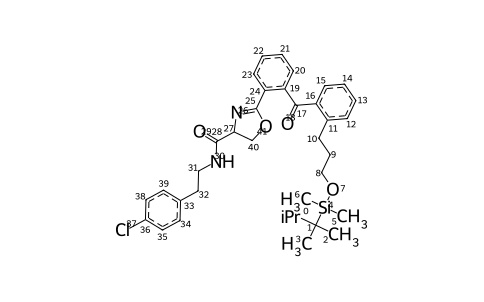 CC(C)C(C)(C)[Si](C)(C)OCCCc1ccccc1C(=O)c1ccccc1C1=NC(C(=O)NCCc2ccc(Cl)cc2)CO1